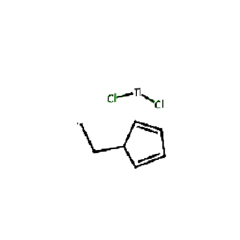 [CH2]CC1C=CC=C1.[Cl][Ti][Cl]